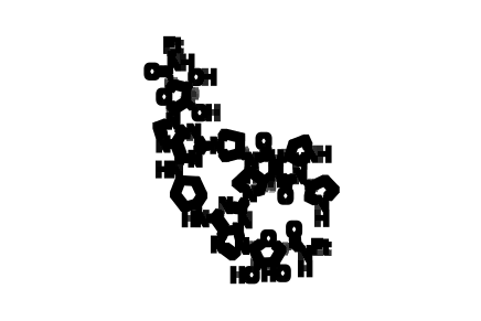 CCNC(=O)[C@H]1O[C@@H](n2cnc3c(N[C@H]4CC[C@H](Nc5nc(N6CC[C@@H](NC(=O)N[C@@H]7CCNC7)C6)nc6c5ncn6[C@@H]5O[C@H](C(=O)NCC)[C@@H](O)[C@H]5O)CC4)nc(N4CC[C@@H](NC(=O)N[C@@H]5CCNC5)C4)nc32)[C@H](O)[C@@H]1O